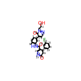 Cc1ccc(-c2ccnn(CCO)c2=O)cc1NC(=O)C1=CN(C)C(=O)C[C@H]1c1cccc(F)c1